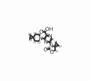 O=C(O)c1ncc(N2C(=O)OCC23CC3)nc1N1CCC2(CC1)CC2